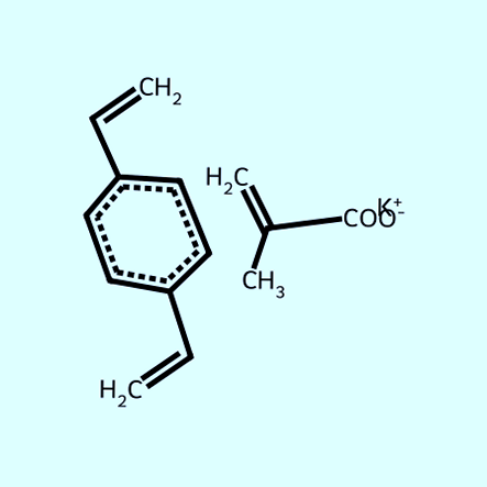 C=C(C)C(=O)[O-].C=Cc1ccc(C=C)cc1.[K+]